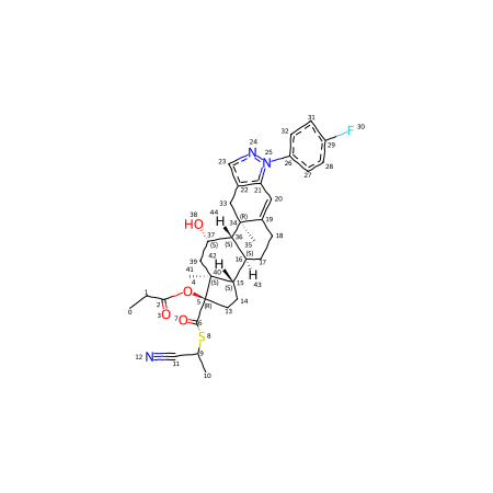 CCC(=O)O[C@]1(C(=O)SC(C)C#N)CC[C@H]2[C@@H]3CCC4=Cc5c(cnn5-c5ccc(F)cc5)C[C@]4(C)[C@H]3[C@@H](O)C[C@@]21C